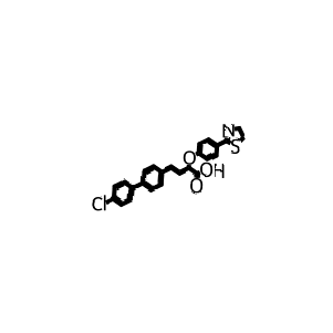 O=C(O)C(CCc1ccc(-c2ccc(Cl)cc2)cc1)Oc1ccc(C2=NCCS2)cc1